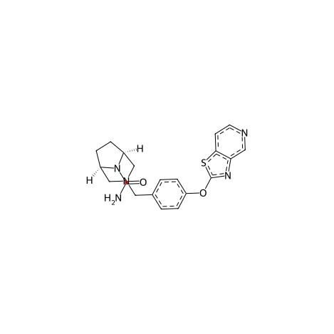 NC(=O)N1[C@@H]2CC[C@H]1CN(Cc1ccc(Oc3nc4cnccc4s3)cc1)C2